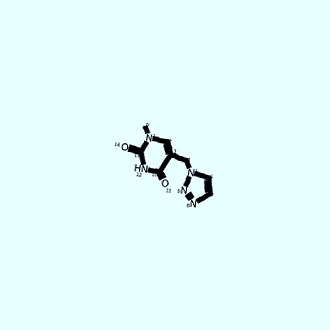 Cn1cc(Cn2ccnn2)c(=O)[nH]c1=O